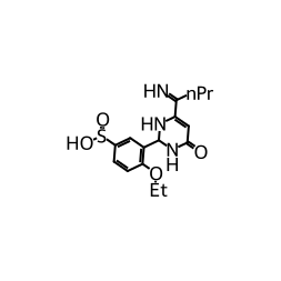 CCCC(=N)C1=CC(=O)NC(c2cc(S(=O)O)ccc2OCC)N1